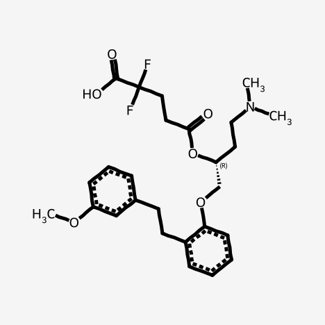 COc1cccc(CCc2ccccc2OC[C@@H](CCN(C)C)OC(=O)CCC(F)(F)C(=O)O)c1